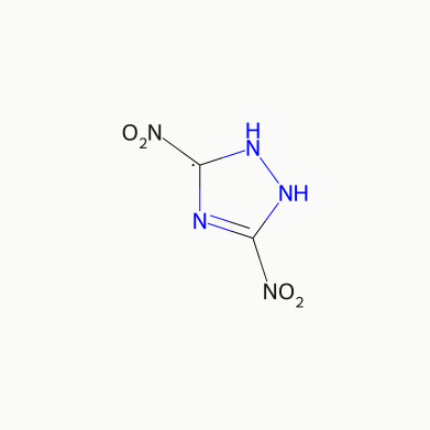 O=[N+]([O-])[C]1N=C([N+](=O)[O-])NN1